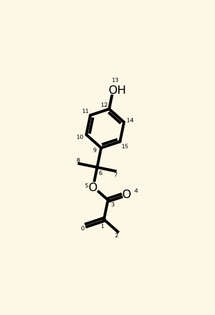 C=C(C)C(=O)OC(C)(C)c1ccc(O)cc1